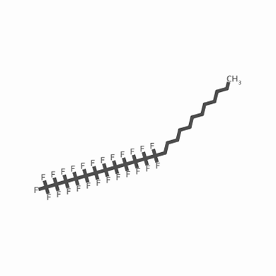 CCCCCCCCCCCCC(F)(F)C(F)(F)C(F)(F)C(F)(F)C(F)(F)C(F)(F)C(F)(F)C(F)(F)C(F)(F)C(F)(F)C(F)(F)C(F)(F)F